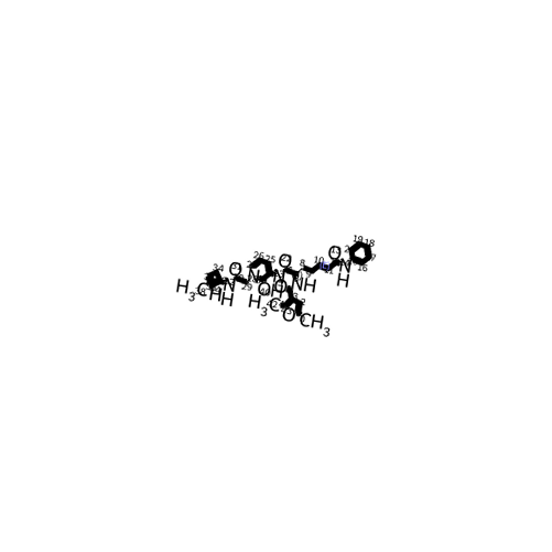 Cc1cc(C(=O)N[C@@H](CC/C=C/C(=O)Nc2ccccc2)C(=O)Nc2cccn(CC(=O)NC34CC(C3)[C@@H]4C)c2=O)c(C)o1